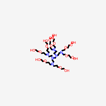 OCCOCCCN(CCCOCCO)CCN(CCN(CCCOCCO)CCCOCCO)CN(CCN(CCOCCOO)CCOCCOO)CCN(CCOCCOO)CCOCCOO